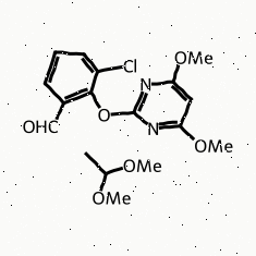 COC(C)OC.COc1cc(OC)nc(Oc2c(Cl)cccc2C=O)n1